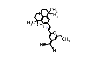 CCC1=CC(=C(C#N)C#N)C=C(/C=C/c2cc3c4c(c2)C(C)(C)CCN4CCC3(C)C)O1